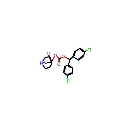 O=C(OC(c1ccc(Cl)cc1)c1ccc(Cl)cc1)O[C@H]1CN2CCC1CC2